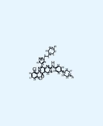 CN1CCN(CCn2cc(-c3nn(-c4c(Cl)cccc4Cl)c(=O)c4cnc(Nc5ccc(N6CCN(C)CC6)cc5)nc34)cn2)CC1